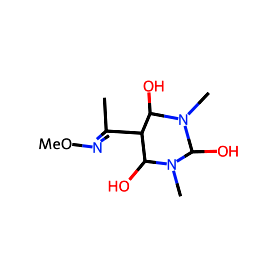 CON=C(C)C1C(O)N(C)C(O)N(C)C1O